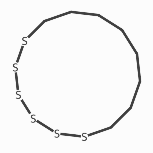 C1CCCCSSSSSSCCC1